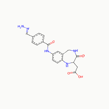 NN=Cc1ccc(C(=O)Nc2ccc3c(c2)CNC(=O)C(CC(=O)O)N3)cc1